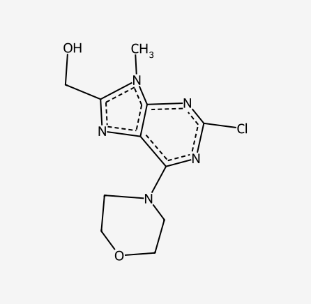 Cn1c(CO)nc2c(N3CCOCC3)nc(Cl)nc21